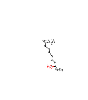 CCCC(O)CCCCCCC(=O)O